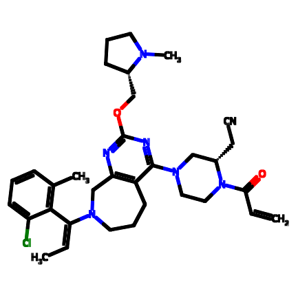 C=CC(=O)N1CCN(c2nc(OC[C@@H]3CCCN3C)nc3c2CCCN(/C(=C/C)c2c(C)cccc2Cl)C3)C[C@@H]1CC#N